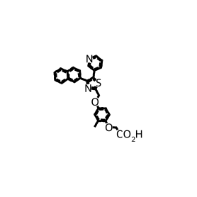 Cc1cc(OCc2nc(-c3ccc4ccccc4c3)c(-c3cccnc3)s2)ccc1OCC(=O)O